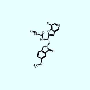 COc1ccc2c(c1)C(=O)N(C[C@H](NC(=O)NC=O)c1cc3cncc(F)c3o1)C2